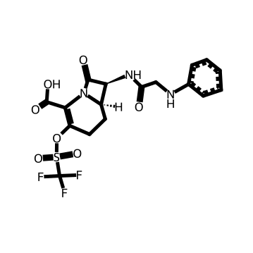 O=C(CNc1ccccc1)N[C@@H]1C(=O)N2C(C(=O)O)=C(OS(=O)(=O)C(F)(F)F)CC[C@H]12